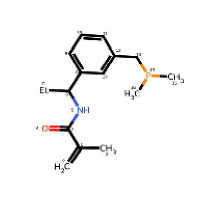 C=C(C)C(=O)NC(CC)c1cccc(CP(C)C)c1